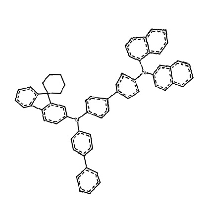 c1ccc(-c2ccc(N(c3ccc(-c4ccc(N(c5ccc6ccccc6c5)c5cccc6ccccc56)cc4)cc3)c3ccc4c(c3)C3(CCCCC3)c3ccccc3-4)cc2)cc1